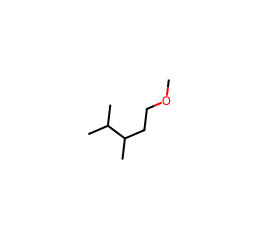 COCCC(C)C(C)C